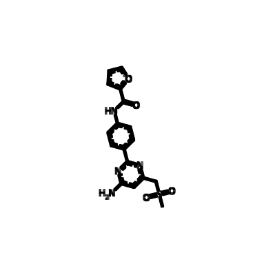 CS(=O)(=O)Cc1cc(N)nc(-c2ccc(NC(=O)c3ccco3)cc2)n1